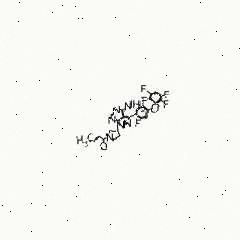 CC=CC(=O)N1CCC(n2nc(-c3ccc(Oc4c(F)c(F)cc(F)c4F)cc3F)c3c(N)ncnc32)C1